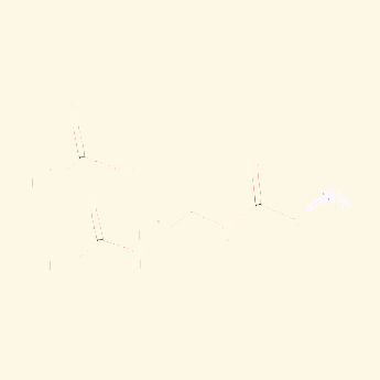 CC(=O)O.CC(=O)O.CCOC(=O)CN